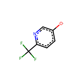 [O]c1ccc(C(F)(F)F)nc1